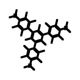 Cc1c(C)c(N(C)C)c(C)c(C)c1-c1c(C)c(-c2c(C)c(C)c(N(C)C)c(C)c2C)c(C)c(-c2c(C)c(C)c(N(C)C)c(C)c2C)c1C